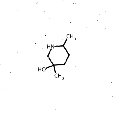 CC1CCC(C)(O)CN1